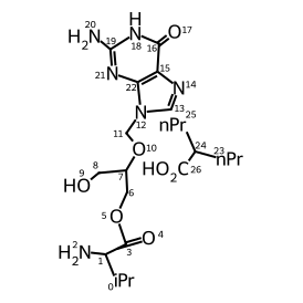 CC(C)C(N)C(=O)OCC(CO)OCn1cnc2c(=O)[nH]c(N)nc21.CCCC(CCC)C(=O)O